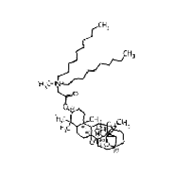 CCCCCCCCCC[N+](C)(CCCCCCCCCC)CC(=O)O[C@H]1CC[C@@]2(C)C(CC[C@]3(C)C2CC[C@@H]2C4[C@H]5O[C@@]4(CCC5(C)C)CC[C@]23C)C1(C)C